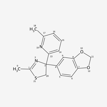 CC1=NC(c2ccc3c(c2)OCO3)(c2cccc(C)n2)CS1